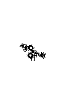 CC(C)(C)OC(=O)N1CCC[C@@H]([C@@H](OCCNc2nccs2)c2cccc(Cl)c2)C1